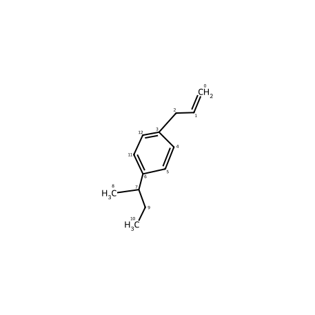 C=CCc1ccc(C(C)CC)cc1